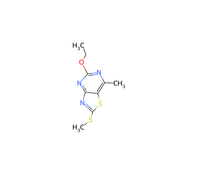 CCOc1nc(C)c2sc(SC)nc2n1